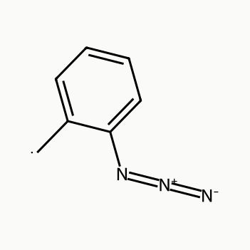 [CH2]c1ccccc1N=[N+]=[N-]